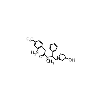 CN(C(=O)Cc1ccc(C(F)(F)F)cc1N)C(CN1CCC(O)C1)c1ccccc1